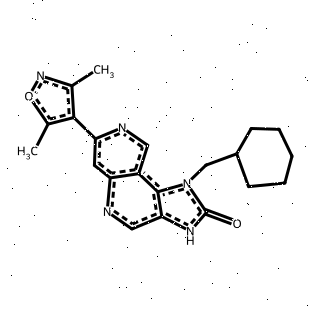 Cc1noc(C)c1-c1cc2ncc3[nH]c(=O)n(CC4CCCCC4)c3c2cn1